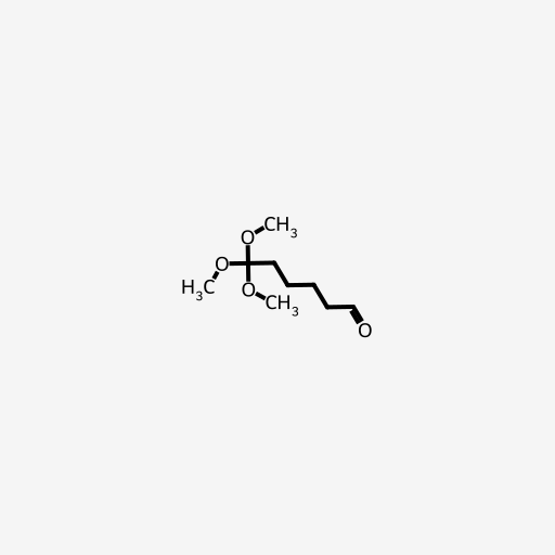 COC(CCCCC=O)(OC)OC